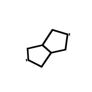 [C]1CC2C[C]CC2C1